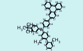 Cc1ccccc1-c1ccc(N(c2ccc(-c3ccc4c5ccccc5c5ccccc5c4c3)cc2)c2ccc(C(C)(C)C)cc2)cc1C